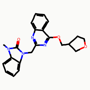 Cn1c(=O)n(Cc2nc(OCC3CCOC3)c3ccccc3n2)c2ccccc21